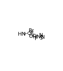 Fc1cc(Oc2cc(Br)cc(C3CNC3)c2)c(F)cc1CNc1ncns1